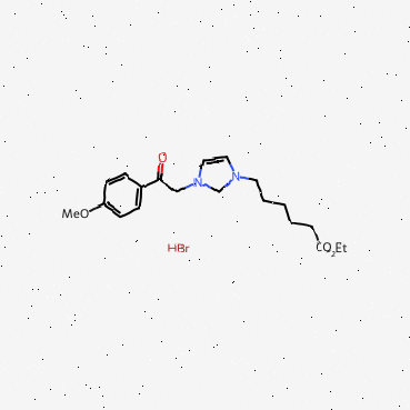 Br.CCOC(=O)CCCCCN1C=CN(CC(=O)c2ccc(OC)cc2)C1